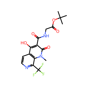 Cn1c(=O)c(C(=O)NCC(=O)OC(C)(C)C)c(O)c2ccnc(C(F)(F)F)c21